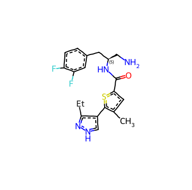 CCc1n[nH]cc1-c1sc(C(=O)N[C@H](CN)Cc2ccc(F)c(F)c2)cc1C